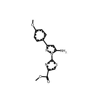 COC(=O)c1csc(-n2nc(-c3ccc(OC)cc3)cc2N)n1